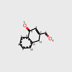 O=[C]C1=CC(=O)c2ccccc2C1